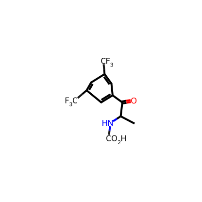 CC(NC(=O)O)C(=O)c1cc(C(F)(F)F)cc(C(F)(F)F)c1